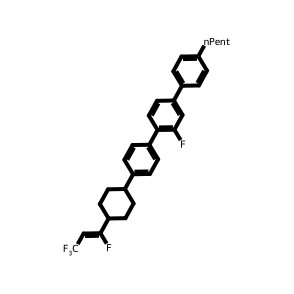 CCCCCc1ccc(-c2ccc(-c3ccc(C4CCC(/C(F)=C/C(F)(F)F)CC4)cc3)c(F)c2)cc1